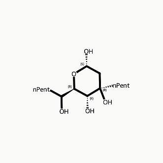 CCCCCC(O)[C@H]1O[C@H](O)C[C@](O)(CCCCC)[C@@H]1O